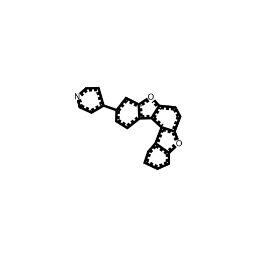 c1ccc2c(c1)oc1ccc3oc4cc(-c5ccncc5)ccc4c3c12